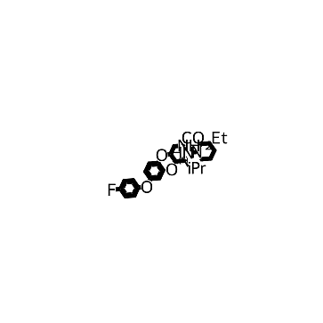 CCOC(=O)NCC(Oc1ccc(Oc2ccc(F)cc2)cc1)C(=O)[C@@H](NN1CCCCC1)C(C)C